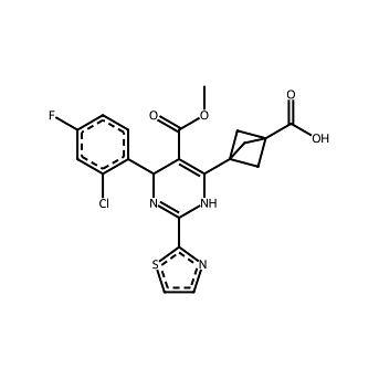 COC(=O)C1=C(C23CC(C(=O)O)(C2)C3)NC(c2nccs2)=NC1c1ccc(F)cc1Cl